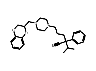 CC(C)C(C#N)(CCCN1CCN(CC2COc3ccccc3O2)CC1)c1ccccc1